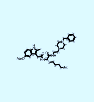 COc1ccc2[nH]c(C)c(CC(=O)N[C@@H](CCCCCC(C)=O)C(=O)NCCN3CCN(Cc4ccccc4)CC3)c2c1